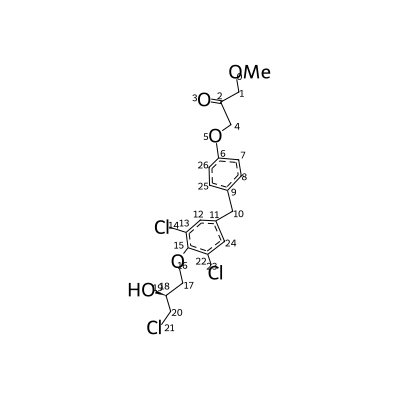 COCC(=O)COc1ccc(Cc2cc(Cl)c(OC[C@H](O)CCl)c(Cl)c2)cc1